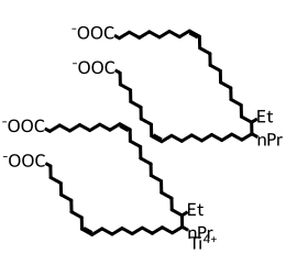 CCCC(CCCCCCCC/C=C\CCCCCCCC(=O)[O-])C(CC)CCCCCCCCC/C=C\CCCCCCCC(=O)[O-].CCCC(CCCCCCCC/C=C\CCCCCCCC(=O)[O-])C(CC)CCCCCCCCC/C=C\CCCCCCCC(=O)[O-].[Ti+4]